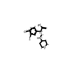 C=C(C(C)C)[C@H](CNC1CCOCC1)c1ccc(Cl)c(F)c1